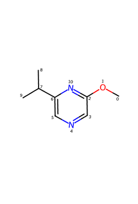 COc1cncc(C(C)C)n1